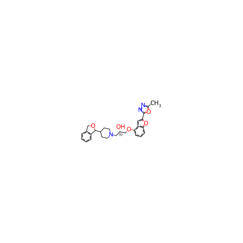 Cc1nnc(-c2cc3c(OC[C@@H](O)CN4CCC(C5OCc6ccccc65)CC4)cccc3o2)o1